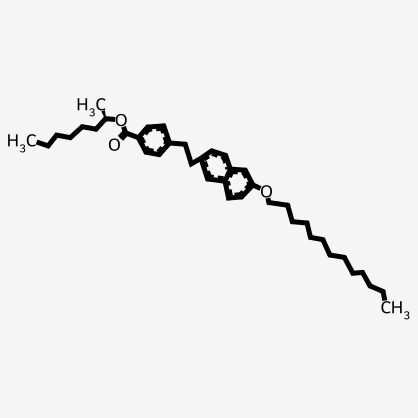 CCCCCCCCCCCCCOc1ccc2cc(CCc3ccc(C(=O)O[C@H](C)CCCCCC)cc3)ccc2c1